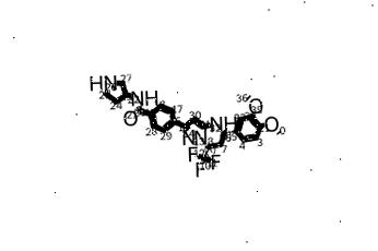 COc1ccc([C@@H]2C[C@H](C(F)(F)F)n3nc(-c4ccc(C(=O)NC5CCNC5)cc4)cc3N2)cc1OC